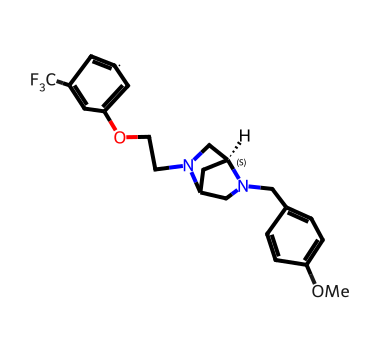 COc1ccc(CN2CC3C[C@H]2CN3CCOc2c[c]cc(C(F)(F)F)c2)cc1